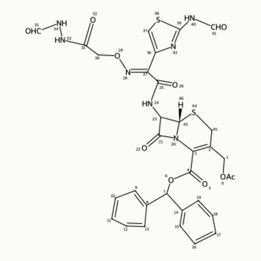 CC(=O)OCC1=C(C(=O)OC(c2ccccc2)c2ccccc2)N2C(=O)C(NC(=O)C(=NOCC(=O)NNC=O)c3csc(NC=O)n3)[C@@H]2SC1